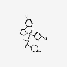 CN1CCN(C(=O)OC[C@H]2CC[C@@H](c3cccc(F)c3)N2S(=O)(=O)c2ccc(Cl)cc2)CC1